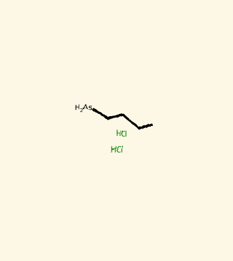 CCCC[AsH2].Cl.Cl